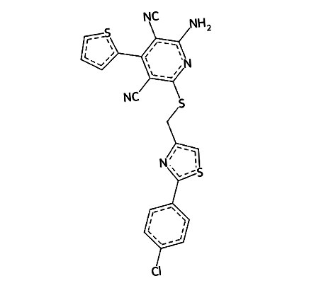 [C-]#[N+]c1c(N)nc(SCc2csc(-c3ccc(Cl)cc3)n2)c(C#N)c1-c1cccs1